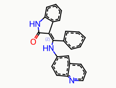 O=C1Nc2ccccc2/C1=C(/Nc1ccc2ncccc2c1)c1ccccc1